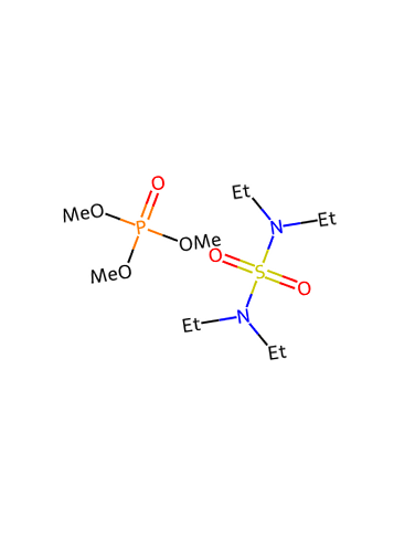 CCN(CC)S(=O)(=O)N(CC)CC.COP(=O)(OC)OC